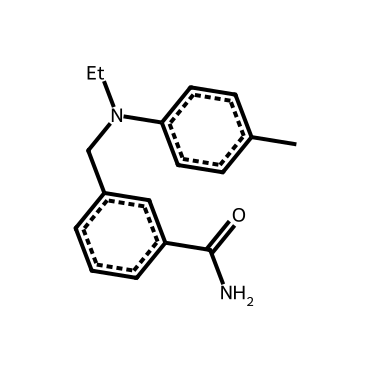 CCN(Cc1cccc(C(N)=O)c1)c1ccc(C)cc1